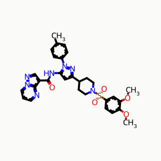 COc1ccc(S(=O)(=O)N2CCC(c3cc(NC(=O)c4cnn5cccnc45)n(-c4ccc(C)cc4)n3)CC2)cc1OC